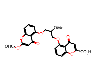 COC(COc1cccc2oc(OC=O)cc(=O)c12)COc1cccc2oc(C(=O)O)cc(=O)c12